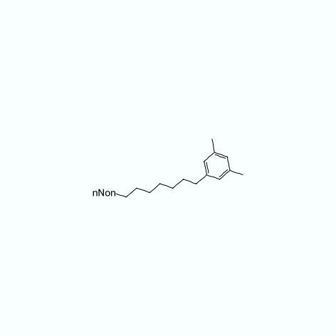 CCCCCCCCCCCCCCCCc1cc(C)cc(C)c1